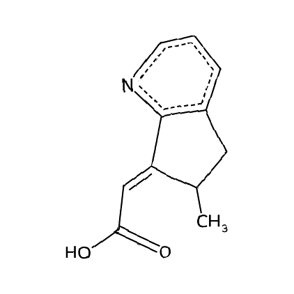 CC1Cc2cccnc2/C1=C/C(=O)O